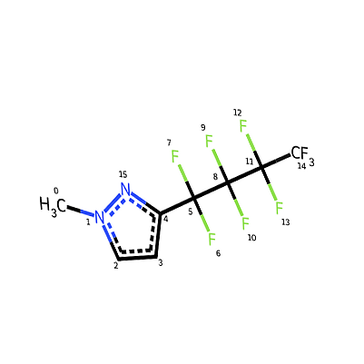 Cn1ccc(C(F)(F)C(F)(F)C(F)(F)C(F)(F)F)n1